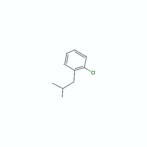 CC(C)Cc1[c]cccc1Cl